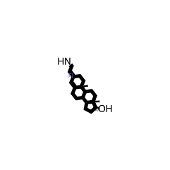 C[C@]12CC/C(=C\C=N)C=C1CCC1C2CC[C@@]2(C)C1CC[C@@H]2O